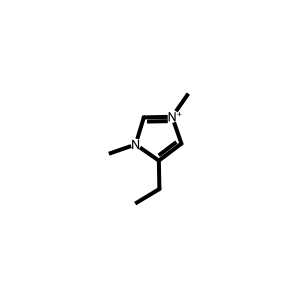 CCc1c[n+](C)cn1C